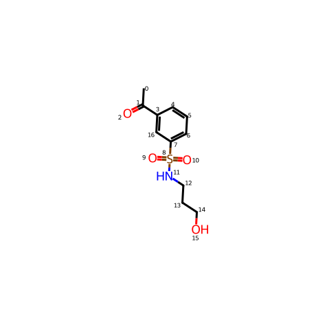 CC(=O)c1cccc(S(=O)(=O)NCCCO)c1